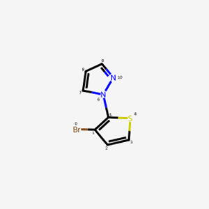 Brc1ccsc1-n1cccn1